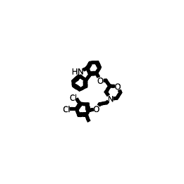 Cc1cc(Cl)c(Cl)cc1OCCN1CCOC(COc2cccc3[nH]c4ccccc4c23)C1